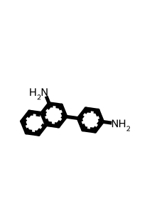 Nc1ccc(-c2cc(N)c3ccccc3c2)cc1